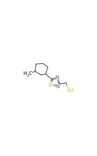 CC1CCCC(c2nc(CS)ns2)C1